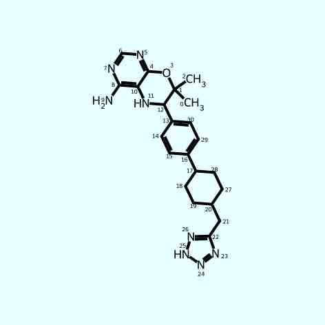 CC1(C)Oc2ncnc(N)c2NC1c1ccc(C2CCC(Cc3nn[nH]n3)CC2)cc1